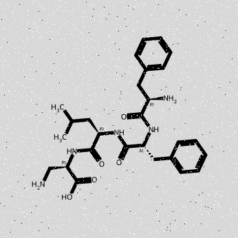 CC(C)C[C@@H](NC(=O)[C@@H](Cc1ccccc1)NC(=O)[C@H](N)Cc1ccccc1)C(=O)N[C@H](CN)C(=O)O